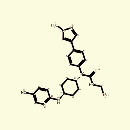 Cn1cc(-c2ccc(N(C(=O)NCC(C)(C)C)[C@H]3CC[C@H](Nc4ccc(C#N)cn4)CC3)cc2)cn1